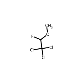 COC(F)C(Cl)(Cl)Cl